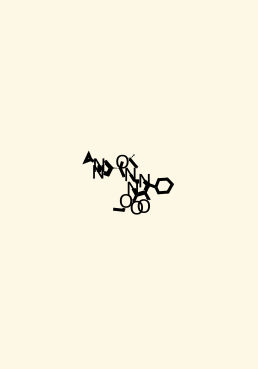 CCOC(=O)c1nc(N2C[C@@H](C)O[C@@H](c3cnn(C4CC4)c3)C2)nc(C2CCCCC2)c1C=O